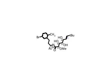 CO[C@@H](C(=O)N[C@@H](CCc1cc(Br)ccc1C)C(C)=O)[C@H](O)[C@@H](O)[C@H](O)/C=C/C(C)(C)C